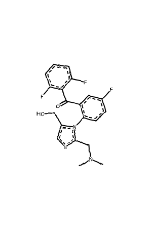 CN(C)Cc1ncc(CO)n1-c1ccc(F)cc1C(=O)c1c(F)cccc1F